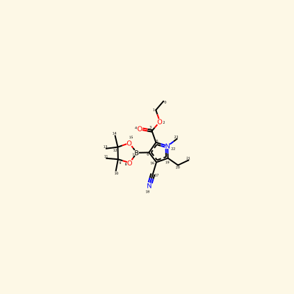 CCOC(=O)c1c(B2OC(C)(C)C(C)(C)O2)c(C#N)c(CC)n1C